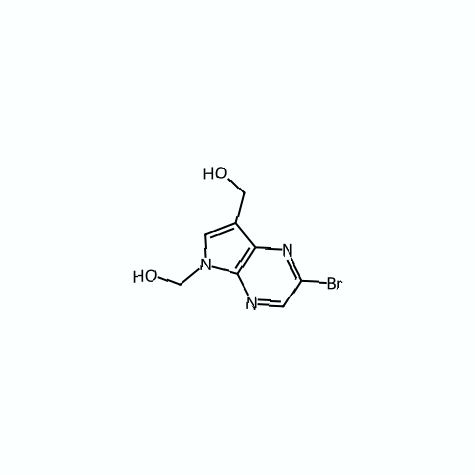 OCc1cn(CO)c2ncc(Br)nc12